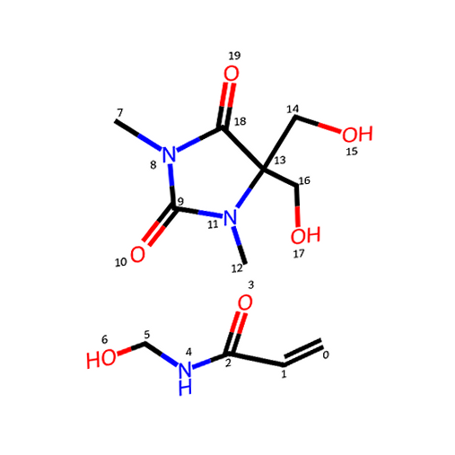 C=CC(=O)NCO.CN1C(=O)N(C)C(CO)(CO)C1=O